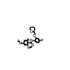 Cc1cc(N=S)cc2ncnc(Nc3ccc(F)cc3OCC3CCCCO3)c12